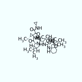 CC[C@@H]1C[C@@]1(NC(=O)[C@@H]1[C@@H]2[C@H](CN1C(=O)[C@@H](NC(=O)NC1(CS(=O)(=O)C(C)(C)C)CCCCC1)C(C)(C)C)C2(C)C)C(=O)C(=O)NC1CC1